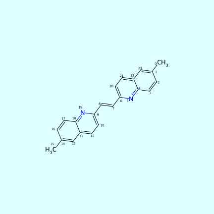 Cc1ccc2nc(C=Cc3ccc4cc(C)ccc4n3)ccc2c1